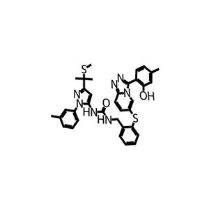 CSC(C)(C)c1cc(NC(=O)NCc2ccccc2Sc2ccc3nnc(-c4ccc(C)cc4O)n3c2)n(-c2cccc(C)c2)n1